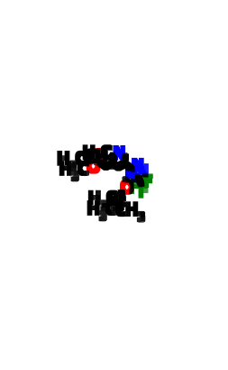 Cc1ncc(-c2nnc(C(F)(F)F)n2COCC[Si](C)(C)C)cc1CC(=O)OC(C)(C)C